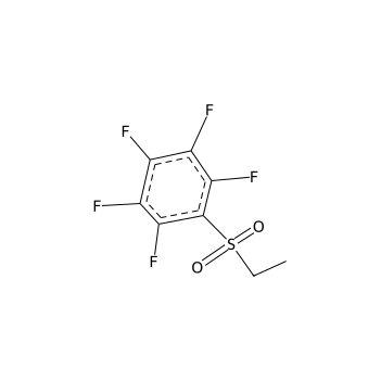 CCS(=O)(=O)c1c(F)c(F)c(F)c(F)c1F